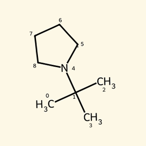 CC(C)(C)N1[CH]CCC1